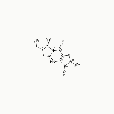 [2H]N1C(CC(C)C)C=C2NC3=C(CN(C(C)C)C3=O)C(=O)N21